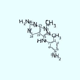 Cc1ccc(N)cc1Nc1nn(C)c2nc(N)ncc12